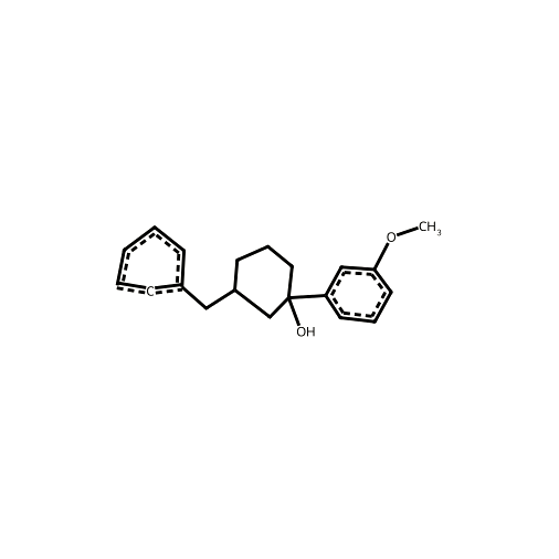 COc1cccc(C2(O)CCCC(Cc3ccccc3)C2)c1